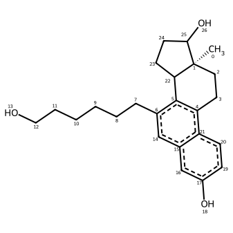 C[C@]12CCc3c(c(CCCCCCO)cc4cc(O)ccc34)C1CCC2O